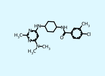 Cc1nc(NC2CCC(NC(=O)c3ccc(Cl)c(C)c3)CC2)cc(N(C)C)n1